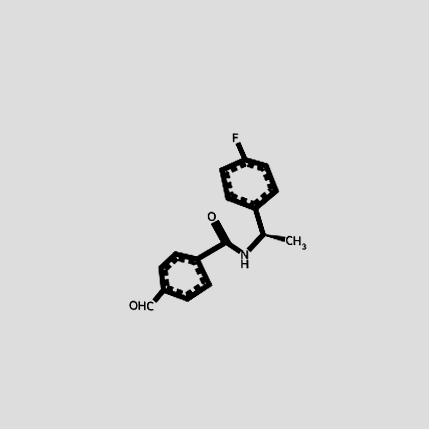 C[C@@H](NC(=O)c1ccc(C=O)cc1)c1ccc(F)cc1